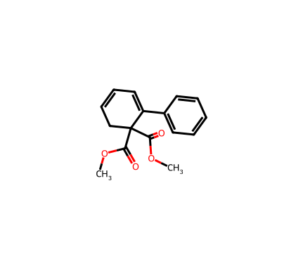 COC(=O)C1(C(=O)OC)CC=CC=C1c1ccccc1